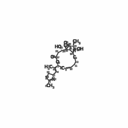 CC1=NC(/C=C(\C)[C@@H]2C/C=C\CCC[C@@H]3C[C@@](C)(C(=O)[C@@H](C)[C@@H]3O)[C@@H](O)CC(=O)O2)CS1